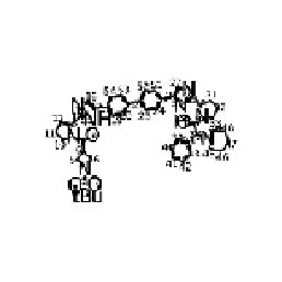 CC(C)(C)OC(=O)N1CC(C(=O)N2CCC[C@H]2c2ncc(-c3ccc(-c4ccc(-c5cnc([C@@H]6CCCN6C(=O)[C@@H](c6ccccc6)N6CCCCC6)[nH]5)cc4)cc3)[nH]2)C1